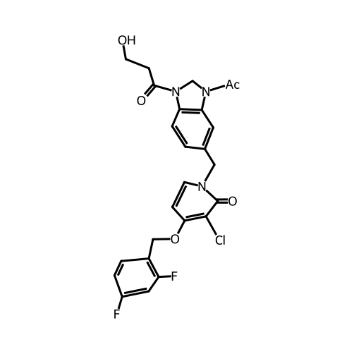 CC(=O)N1CN(C(=O)CCO)c2ccc(Cn3ccc(OCc4ccc(F)cc4F)c(Cl)c3=O)cc21